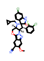 COc1cc2nn3c(c2cc1C#N)OC[C@H]1[C@@H]3[C@H](c2cccc(Cl)c2F)[C@]2(C(=O)Nc3cc(Cl)ccc32)N1CC1CC1